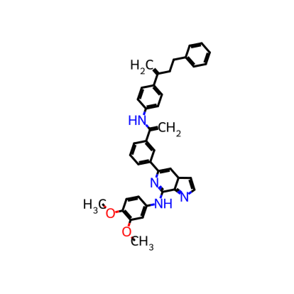 C=C(CCc1ccccc1)c1ccc(NC(=C)c2cccc(C3=CC4C=CN=C4C(Nc4ccc(OC)c(OC)c4)=N3)c2)cc1